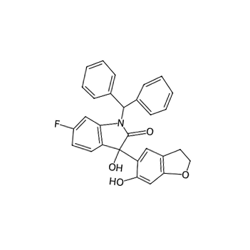 O=C1N(C(c2ccccc2)c2ccccc2)c2cc(F)ccc2C1(O)c1cc2c(cc1O)OCC2